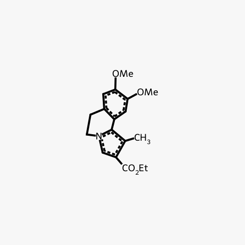 CCOC(=O)c1cn2c(c1C)-c1cc(OC)c(OC)cc1CC2